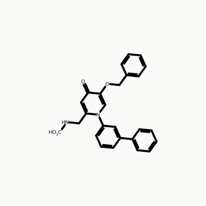 O=C(O)NCc1cc(=O)c(OCc2ccccc2)cn1-c1cccc(-c2ccccc2)c1